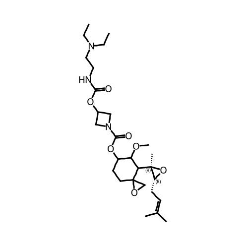 CCN(CC)CCNC(=O)OC1CN(C(=O)OC2CCC3(CO3)C([C@@]3(C)O[C@@H]3CC=C(C)C)C2OC)C1